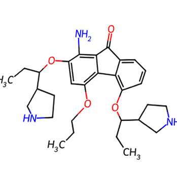 CCCOc1cc(OC(CC)C2CCNC2)c(N)c2c1-c1c(OC(CC)C3CCNC3)cccc1C2=O